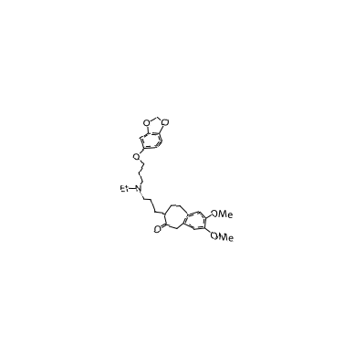 CCN(CCCOc1ccc2c(c1)OCO2)CCCC1CCc2cc(OC)c(OC)cc2CC1=O